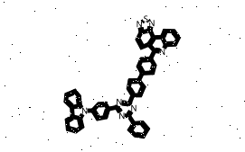 c1ccc(-c2nc(-c3ccc(-c4ccc(-c5nc6ccccc6c6c5ccc5nsnc56)cc4)cc3)nc(-c3ccc(-n4c5ccccc5c5ccccc54)cc3)n2)cc1